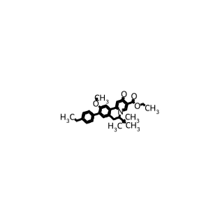 CCOC(=O)c1cn2c(cc1=O)-c1cc(OC)c(-c3ccc(CC)cc3)cc1CC2C(C)(C)C